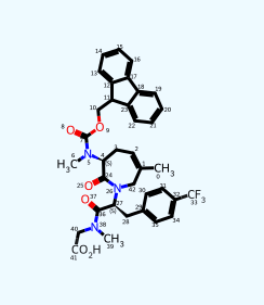 CC1=CC[C@H](N(C)C(=O)OCC2c3ccccc3-c3ccccc32)C(=O)N([C@@H](Cc2ccc(C(F)(F)F)cc2)C(=O)N(C)CC(=O)O)C1